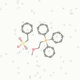 COCC[P+](c1ccccc1)(c1ccccc1)c1ccccc1.O=S(=O)([O-])Cc1ccccc1